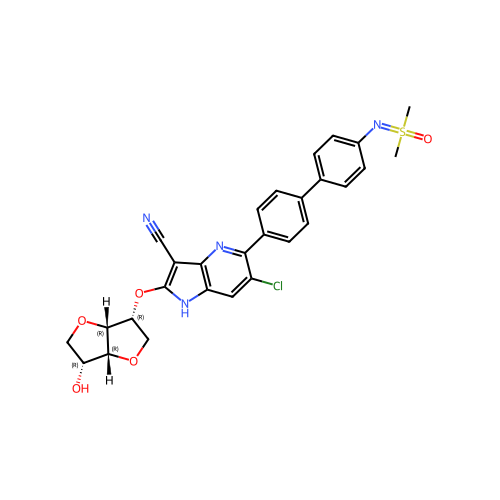 CS(C)(=O)=Nc1ccc(-c2ccc(-c3nc4c(C#N)c(O[C@@H]5CO[C@H]6[C@@H]5OC[C@H]6O)[nH]c4cc3Cl)cc2)cc1